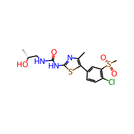 Cc1nc(NC(=O)NC[C@@H](C)O)sc1-c1ccc(Cl)c(S(C)(=O)=O)c1